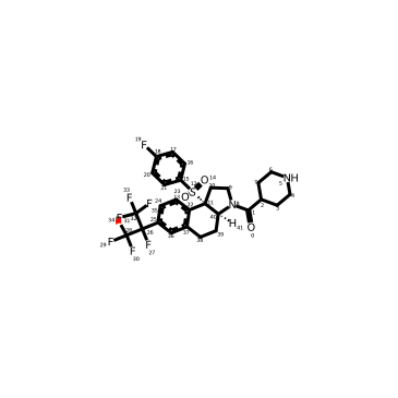 O=C(C1CCNCC1)N1CC[C@]2(S(=O)(=O)c3ccc(F)cc3)c3ccc(C(F)(C(F)(F)F)C(F)(F)F)cc3CC[C@H]12